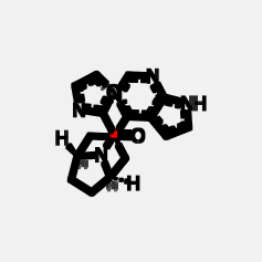 O=C(c1ncco1)N1[C@@H]2CC[C@@H]1CN(c1ncnc3[nH]ccc13)C2